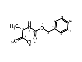 C[C@H](NC(=O)OCc1ccccc1)C(=O)Cl